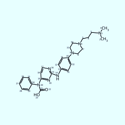 CN(C)CCCN1CCN(c2ccc(Nc3nccc(N(C(=O)O)c4ccccc4)n3)cc2)CC1